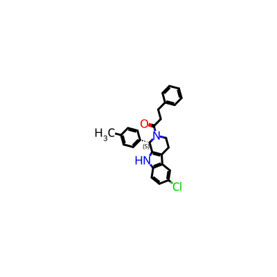 Cc1ccc([C@H]2c3[nH]c4ccc(Cl)cc4c3CCN2C(=O)CCc2ccccc2)cc1